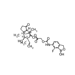 C=C[C@]1(C)C[C@@H](OC(=O)COC(=O)Nc2ccc3c(c2F)B(O)OC3)[C@]2(C)[C@H](C)CC[C@]3(CCC(=O)[C@H]32)[C@@H](C)[C@@H]1O